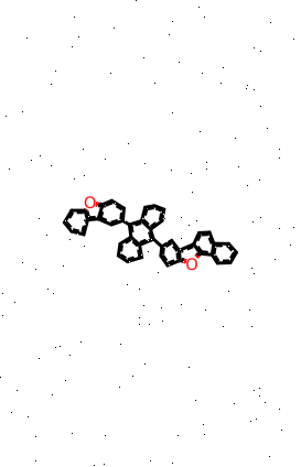 c1ccc2c(c1)ccc1c3cc(-c4c5ccccc5c(-c5ccc6oc7ccccc7c6c5)c5ccccc45)ccc3oc21